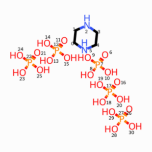 C1CNCCN1.O=P(O)(O)O.O=P(O)(O)O.O=P(O)(O)O.O=P(O)(O)O.O=P(O)(O)O